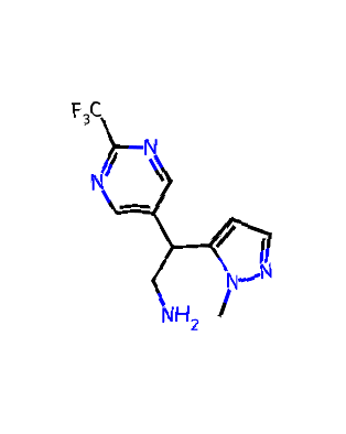 Cn1nccc1C(CN)c1cnc(C(F)(F)F)nc1